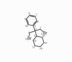 BrCC(CBr)(c1ccccc1)C1CCCCC1